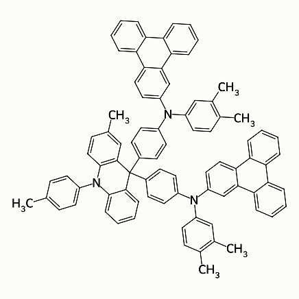 Cc1ccc(N2c3ccccc3C(c3ccc(N(c4ccc(C)c(C)c4)c4ccc5c6ccccc6c6ccccc6c5c4)cc3)(c3ccc(N(c4ccc(C)c(C)c4)c4ccc5c6ccccc6c6ccccc6c5c4)cc3)c3cc(C)ccc32)cc1